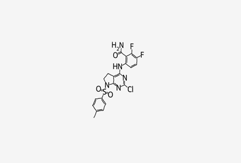 Cc1ccc(S(=O)(=O)N2CCc3c(Nc4ccc(F)c(F)c4C(N)=O)nc(Cl)nc32)cc1